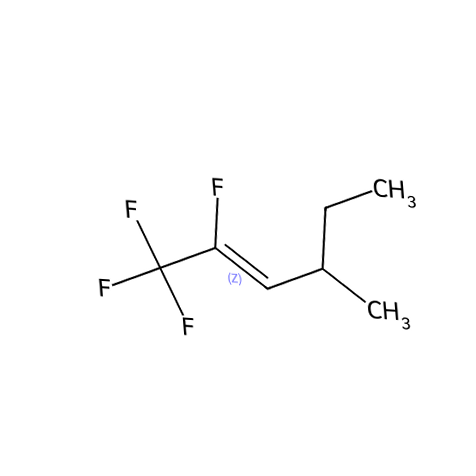 CCC(C)/C=C(\F)C(F)(F)F